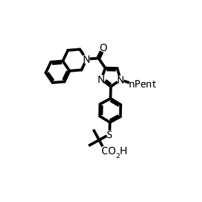 CCCCCn1cc(C(=O)N2CCc3ccccc3C2)nc1-c1ccc(SC(C)(C)C(=O)O)cc1